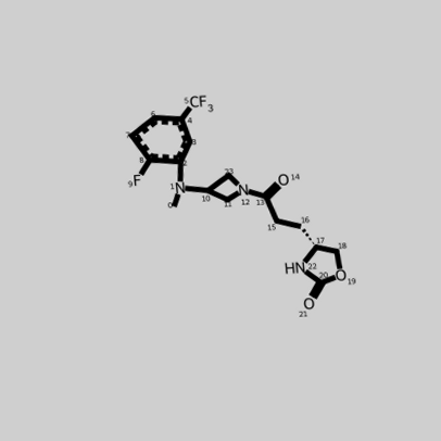 CN(c1cc(C(F)(F)F)ccc1F)C1CN(C(=O)CC[C@@H]2COC(=O)N2)C1